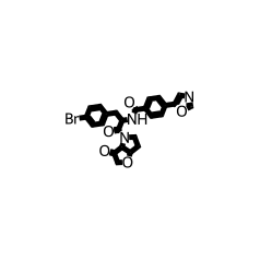 O=C(NC(Cc1ccc(Br)cc1)C(=O)N1CCC2OCC(=O)C21)c1ccc(-c2cnco2)cc1